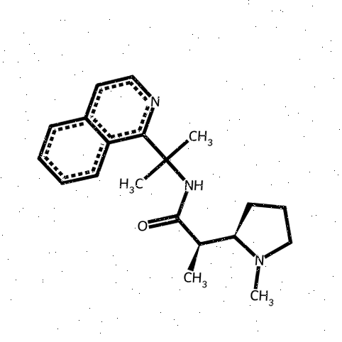 C[C@@H](C(=O)NC(C)(C)c1nccc2ccccc12)[C@H]1CCCN1C